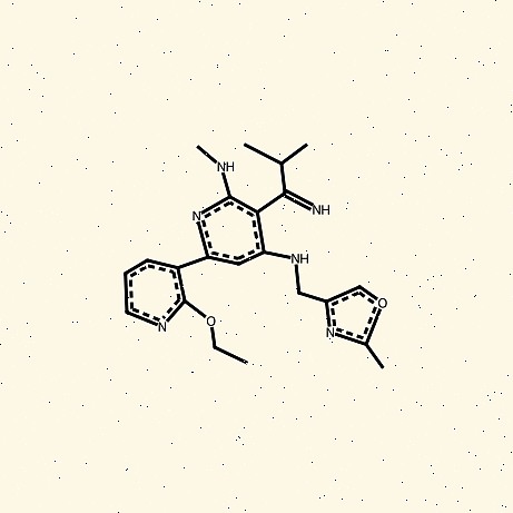 CCOc1ncccc1-c1cc(NCc2coc(C)n2)c(C(=N)C(C)C)c(NC)n1